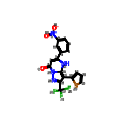 O=c1cc(-c2cccc([N+](=O)[O-])c2)[nH]c2c(-c3cccs3)c(C(F)(F)F)nn12